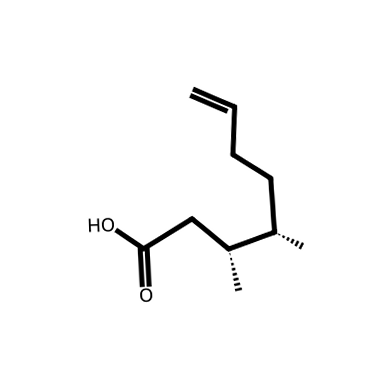 C=CCC[C@H](C)[C@H](C)CC(=O)O